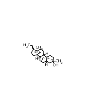 CC=C1CC[C@H]2[C@@H]3CC[C@H]4C[C@@](C)(O)CC[C@]4(C)[C@H]3CC[C@]12C